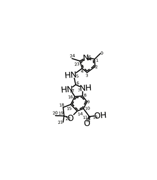 Cc1ccc(NC2Nc3cc(C(=O)O)c4c(c3N2)CC(C)(C)O4)c(C)n1